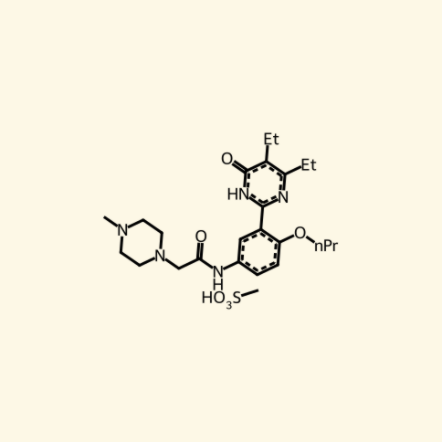 CCCOc1ccc(NC(=O)CN2CCN(C)CC2)cc1-c1nc(CC)c(CC)c(=O)[nH]1.CS(=O)(=O)O